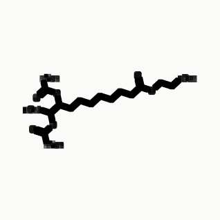 CCCCCCCCCCCCOC(=O)CCCCCCCC(OC(=O)CCCCCCCCC)C(CCCCCCCC)OC(=O)CCCCCCCCC